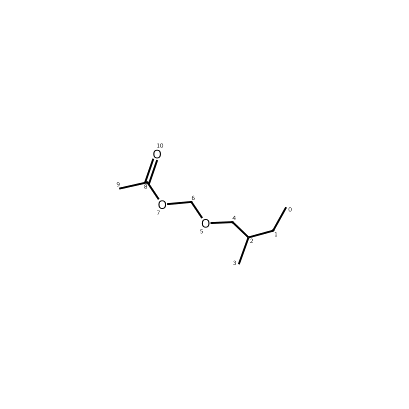 CCC(C)COCOC(C)=O